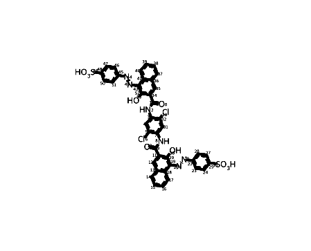 O=C(Nc1cc(Cl)c(NC(=O)c2cc3ccccc3c(/N=N/c3ccc(S(=O)(=O)O)cc3)c2O)cc1Cl)c1cc2ccccc2c(/N=N/c2ccc(S(=O)(=O)O)cc2)c1O